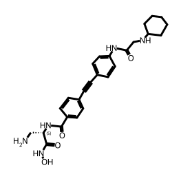 NC[C@H](NC(=O)c1ccc(C#Cc2ccc(NC(=O)CNC3CCCCC3)cc2)cc1)C(=O)NO